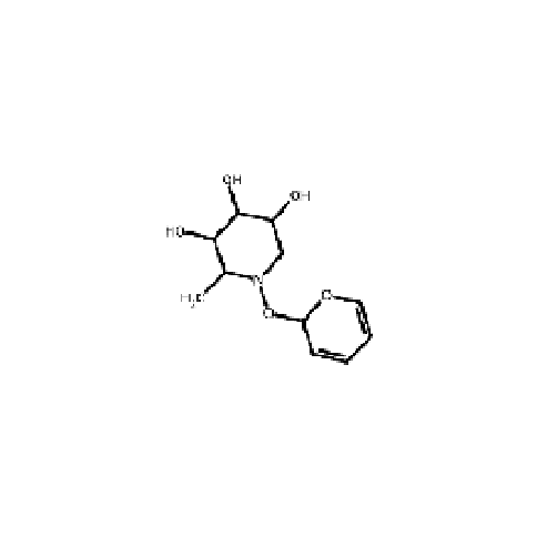 CC1C(O)C(O)C(O)CN1OC1C=CC=CO1